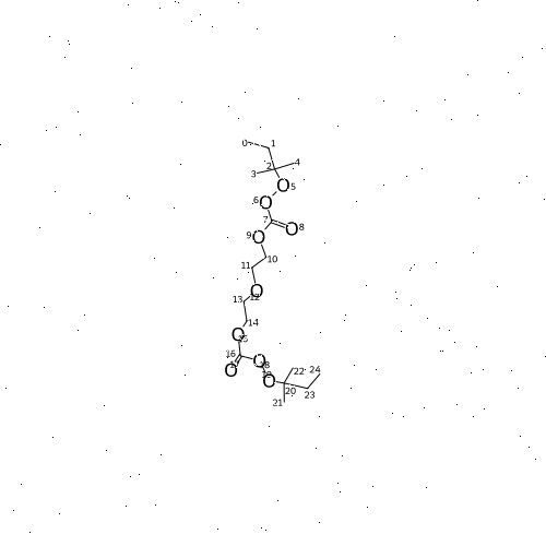 CCC(C)(C)OOC(=O)OCCOCCOC(=O)OOC(C)(C)CC